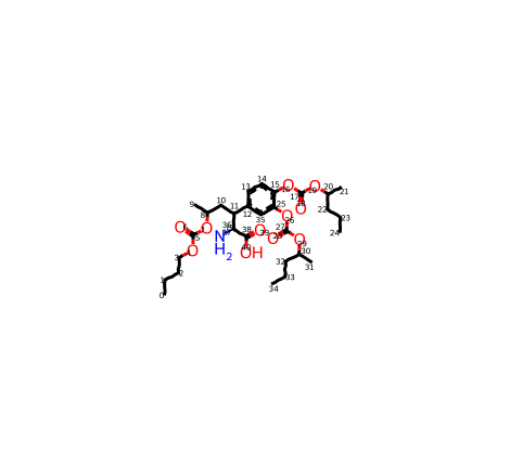 CCCCOC(=O)OC(C)CC(c1ccc(OC(=O)OC(C)CCC)c(OC(=O)OC(C)CCC)c1)[C@H](N)C(=O)O